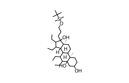 CCC1C(CC)C2(O)CC(O)CC[C@]2(C)[C@@H]2CC[C@@]3(C)[C@@H](C(CC)C(CC)C3(O)CCCO[Si](C)(C)C(C)(C)C)[C@H]12